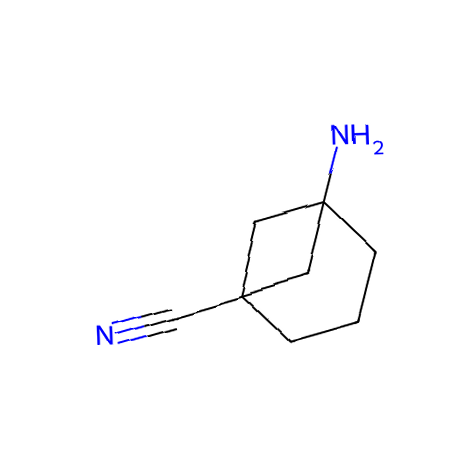 N#CC12CCCC(N)(C1)C2